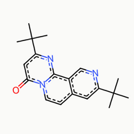 CC(C)(C)c1cc2ccn3c(=O)cc(C(C)(C)C)nc3c2cn1